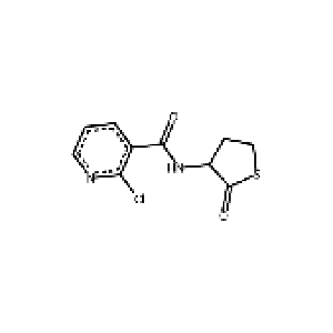 O=C(NC1CCSC1=O)c1cccnc1Cl